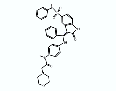 CN(C(=O)CN1CCOCC1)c1ccc(N/C(=C2\C(=O)Nc3ccc(S(=O)(=O)Nc4ccccc4)cc32)c2ccccc2)cc1